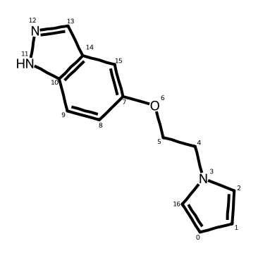 c1ccn(CCOc2ccc3[nH]ncc3c2)c1